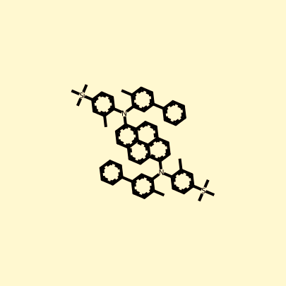 Cc1cc([Si](C)(C)C)ccc1N(c1cc(-c2ccccc2)ccc1C)c1ccc2ccc3c(N(c4ccc(S(C)(C)C)cc4C)c4cc(-c5ccccc5)ccc4C)ccc4ccc1c2c43